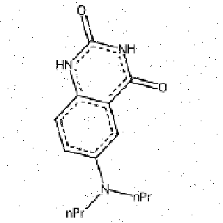 CCCN(CCC)c1ccc2[nH]c(=O)[nH]c(=O)c2c1